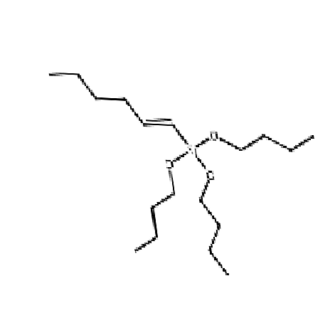 CCCCC=C[Si](OCCCC)(OCCCC)OCCCC